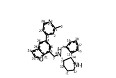 Cc1cc(-c2cc(CN[C@H]3CCCN[C@H]3c3ccccc3)c3occc3c2)ccn1